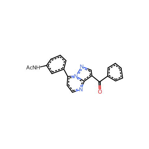 CC(=O)Nc1cccc(-c2ccnc3c(C(=O)c4ccccc4)cnn23)c1